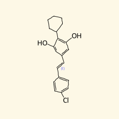 Oc1cc(/C=C/c2ccc(Cl)cc2)cc(O)c1C1CCCCC1